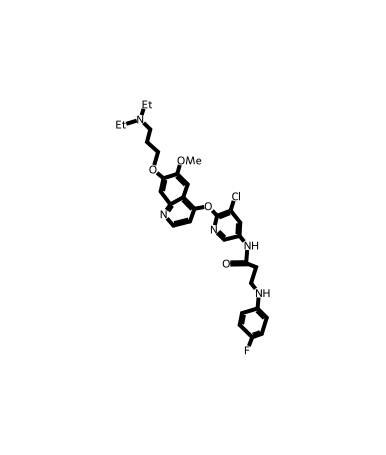 CCN(CC)CCCOc1cc2nccc(Oc3ncc(NC(=O)CCNc4ccc(F)cc4)cc3Cl)c2cc1OC